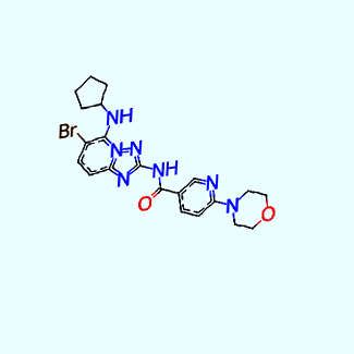 O=C(Nc1nc2ccc(Br)c(NC3CCCC3)n2n1)c1ccc(N2CCOCC2)nc1